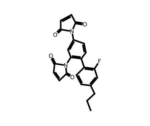 CCCc1ccc(-c2ccc(N3C(=O)C=CC3=O)cc2N2C(=O)C=CC2=O)c(F)c1